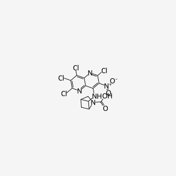 O=C(O)N1CC2CC1C2Nc1c([N+](=O)[O-])c(Cl)nc2c(Cl)c(Cl)c(Cl)nc12